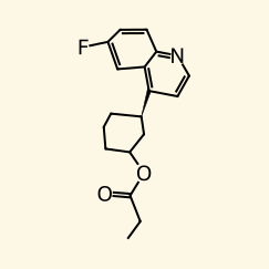 CCC(=O)OC1CCC[C@@H](c2ccnc3ccc(F)cc23)C1